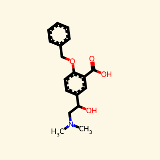 CN(C)CC(O)c1ccc(OCc2ccccc2)c(C(=O)O)c1